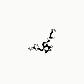 CC(C)OCCn1c(=S)[nH]c(=O)c2c1ccn2COC(=O)CCN